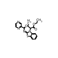 CCOC(=O)C(CC)n1/c(=N\C(=O)c2cnccn2)sc2ccccc21